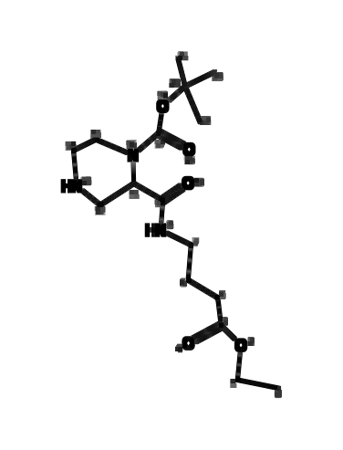 CCOC(=O)CCCNC(=O)C1CNCCN1C(=O)OC(C)(C)C